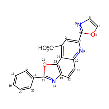 O=C(O)c1cc(-c2ncco2)nc2ccc3nc(-c4ccccc4)oc3c12